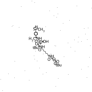 Cc1ncsc1-c1ccc([C@H](C)NC(=O)[C@@H]2C[C@@H](O)CN2C(=O)[C@@H](NC(=O)CCCCCCNC(=O)[C@@H]2CCN(C(=O)OC(C)(C)C)C2)C(C)(C)C)cc1